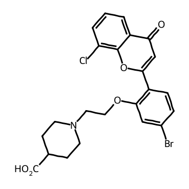 O=C(O)C1CCN(CCOc2cc(Br)ccc2-c2cc(=O)c3cccc(Cl)c3o2)CC1